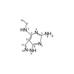 [CH2]CNc1nc(N)nc2[nH]ncc12